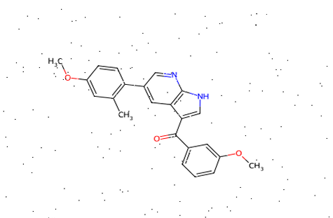 COc1cccc(C(=O)c2c[nH]c3ncc(-c4ccc(OC)cc4C)cc23)c1